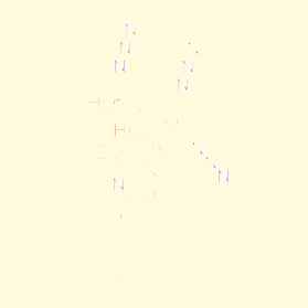 CC[C@@H]([C@@H]1CCC(N=[N+]=[N-])[C@@H](O[C@@H]2C(N=[N+]=[N-])CC(N=[N+]=[N-])[C@H](O)[C@H]2O)O1)N(Cc1ccccc1)C(=O)OCc1ccccc1